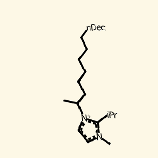 CCCCCCCCCCCCCCCCC(C)[n+]1ccn(C)c1C(C)C